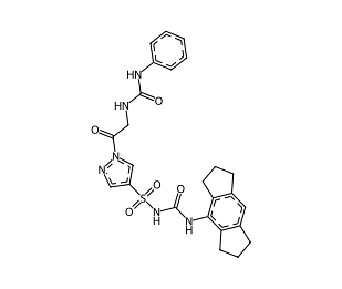 O=C(NCC(=O)n1cc(S(=O)(=O)NC(=O)Nc2c3c(cc4c2CCC4)CCC3)cn1)Nc1ccccc1